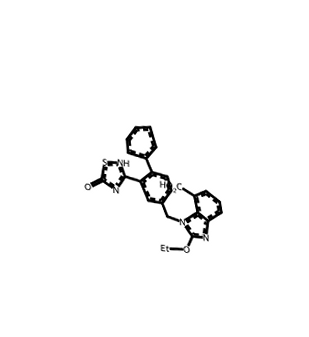 CCOc1nc2cccc(C(=O)O)c2n1Cc1ccc(-c2ccccc2)c(-c2nc(=O)s[nH]2)c1